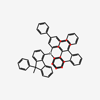 CC1(c2ccccc2)c2ccccc2-c2c(N(c3cc(-c4ccccc4)cc(-c4ccccc4)c3)c3ccccc3-c3ccccc3-c3ccccc3-c3ccccc3)cccc21